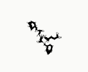 O=C(O)CCC(=O)N[C@@H](CC(=O)OCc1ccccc1)C(=O)OCc1ccccc1